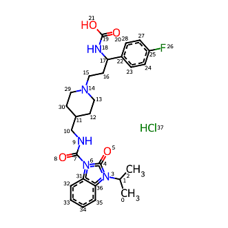 CC(C)n1c(=O)n(C(=O)NCC2CCN(CCC(NC(=O)O)c3ccc(F)cc3)CC2)c2ccccc21.Cl